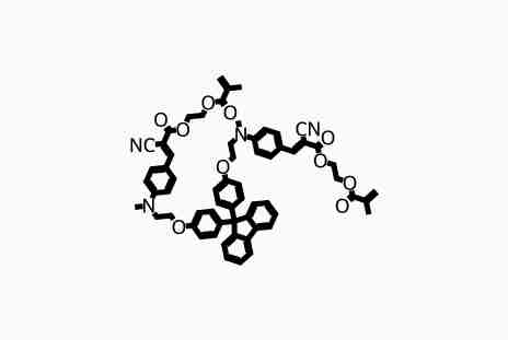 C=C(C)C(=O)OCCOC(=O)/C(C#N)=C/c1ccc(N(C)CCOc2ccc(C3(c4ccc(OCCN(C)c5ccc(/C=C(\C#N)C(=O)OCCOC(=O)C(=C)C)cc5)cc4)c4ccccc4-c4ccccc43)cc2)cc1